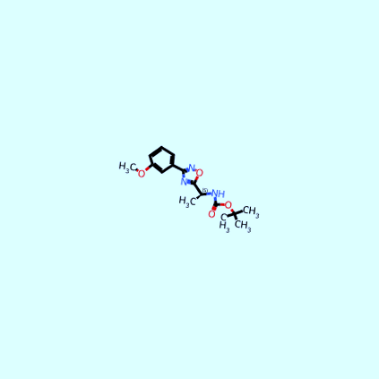 COc1cccc(-c2noc([C@H](C)NC(=O)OC(C)(C)C)n2)c1